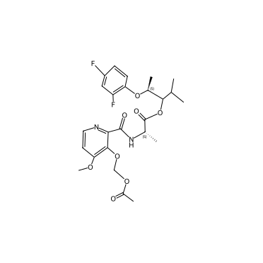 COc1ccnc(C(=O)N[C@@H](C)C(=O)OC(C(C)C)[C@H](C)Oc2ccc(F)cc2F)c1OCOC(C)=O